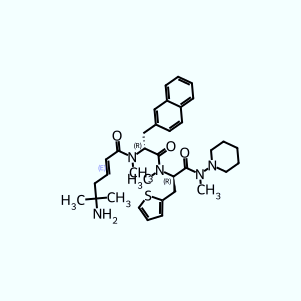 CN(C(=O)/C=C/CC(C)(C)N)[C@H](Cc1ccc2ccccc2c1)C(=O)N(C)[C@H](Cc1cccs1)C(=O)N(C)N1CCCCC1